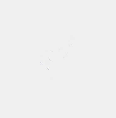 CCNc1ncc(C)c(Nc2cccc(-n3cccc3)c2)n1